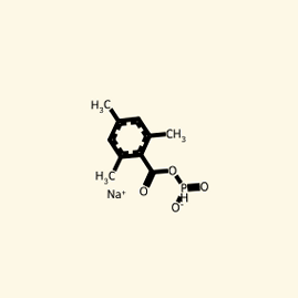 Cc1cc(C)c(C(=O)O[PH](=O)[O-])c(C)c1.[Na+]